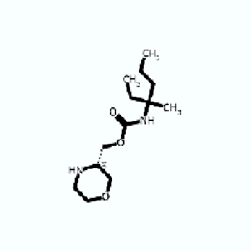 CCCC(C)(CC)NC(=O)OC[C@@H]1COCCN1